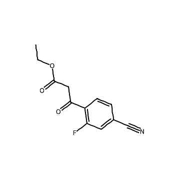 CCOC(=O)CC(=O)c1ccc(C#N)cc1F